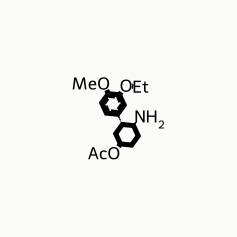 CCOc1cc([C@H]2CC(OC(C)=O)CC[C@H]2N)ccc1OC